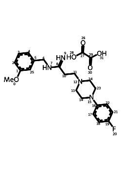 COc1cccc(CNC(=N)CCN2CCN(c3ccc(F)cc3)CC2)c1.O=C(O)C(=O)O